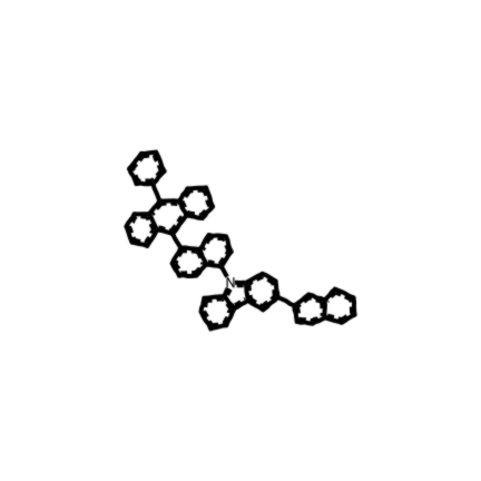 c1ccc(-c2c3ccccc3c(-c3cccc4c(-n5c6ccccc6c6cc(-c7ccc8ccccc8c7)ccc65)cccc34)c3ccccc23)cc1